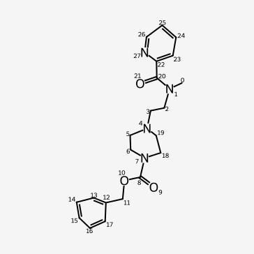 CN(CCN1CCN(C(=O)OCc2ccccc2)CC1)C(=O)c1ccccn1